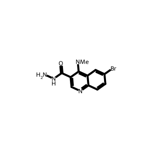 CNc1c(C(=O)NN)cnc2ccc(Br)cc12